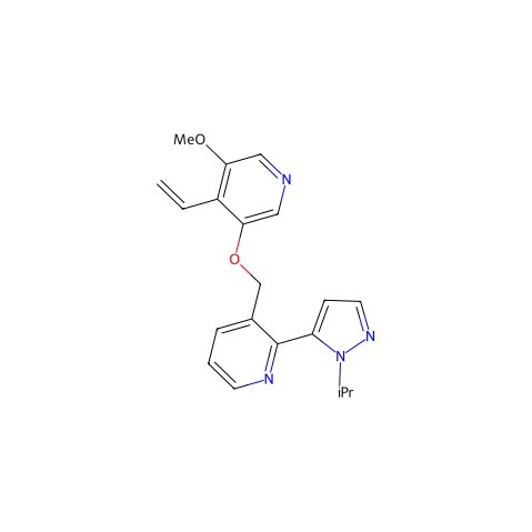 C=Cc1c(OC)cncc1OCc1cccnc1-c1ccnn1C(C)C